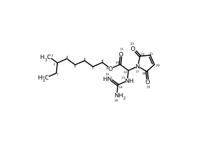 CCC(C)CCCCCOC(=O)C(NC(=N)N)N1C(=O)C=CC1=O